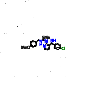 COc1ccc(CN/C(=N\c2ncccc2C(=N)c2ccc(Cl)cc2)SC)cc1